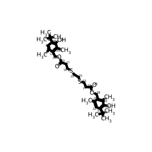 Cc1cc(C(C)(C)C)c(O)c(C)c1COC(=O)CCSCCSCCC(=O)OCc1c(C)cc(C(C)(C)C)c(O)c1C